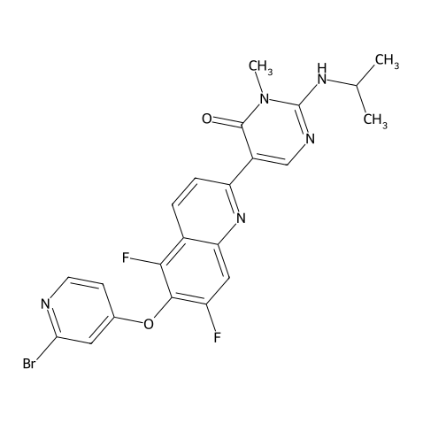 CC(C)Nc1ncc(-c2ccc3c(F)c(Oc4ccnc(Br)c4)c(F)cc3n2)c(=O)n1C